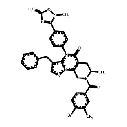 C=C1N=C(c2ccc(-n3c(=O)c4c(n5ncc(Cc6ccccc6)c35)CN(C(=O)c3ccc(Br)c(C(F)(F)F)c3)C(C)C4)cc2)N(C)O1